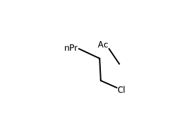 CC(C)=O.CCCCCCl